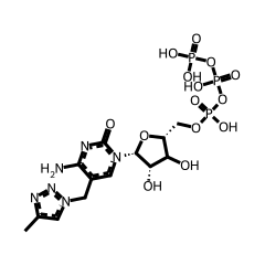 Cc1cn(Cc2cn([C@@H]3O[C@H](COP(=O)(O)OP(=O)(O)OP(=O)(O)O)C(O)[C@@H]3O)c(=O)nc2N)nn1